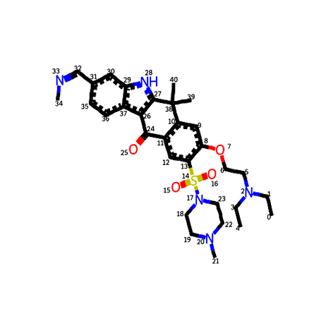 CCN(CC)CCOc1cc2c(cc1S(=O)(=O)N1CCN(C)CC1)C(=O)c1c([nH]c3cc(/C=N\C)ccc13)C2(C)C